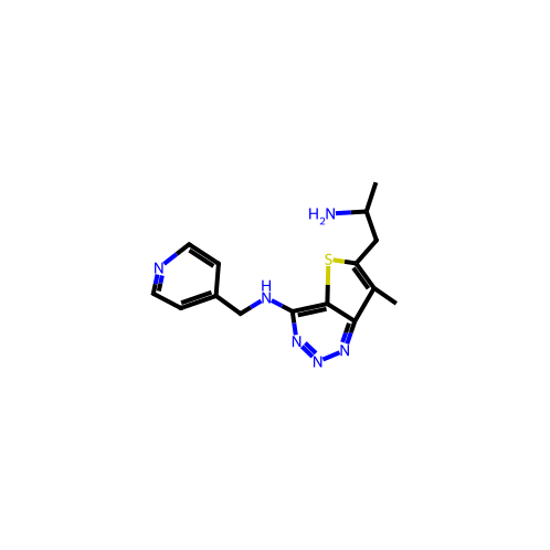 Cc1c(CC(C)N)sc2c(NCc3ccncc3)nnnc12